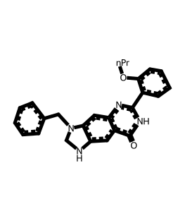 CCCOc1ccccc1-c1nc2cc3c(cc2c(=O)[nH]1)NCN3Cc1ccccc1